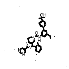 CCc1cc(NC(=O)N2CCc3nc(-c4cncnc4)nc(-c4ccccc4C)c3C2)cc(-c2ccc(C(C)(C)O)cc2)c1